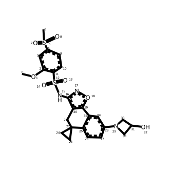 COc1cc(S(C)(=O)=O)ccc1S(=O)(=O)Nc1noc2c1CC1(CC1)c1ccc(N3CC(O)C3)cc1-2